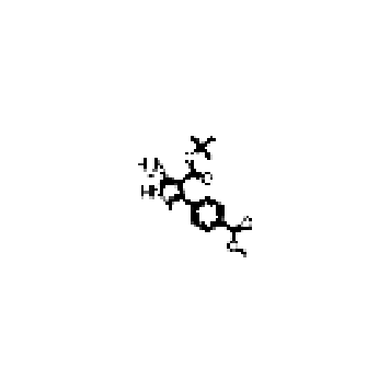 COC(=O)c1ccc(-c2n[nH]c(N)c2C(=O)OC(C)(C)C)cc1